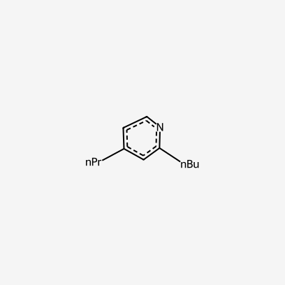 [CH2]CCc1ccnc(CCCC)c1